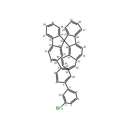 Brc1cccc(-c2ccc(-c3ccc4c(c3)C3(c5ccccc5-4)c4ccccc4-c4ccc5ccccc5c43)cc2)c1